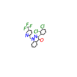 O=c1c(-c2cccc(Cl)c2Cl)nn(Cc2ccc(C(F)(F)F)cn2)c2ccccc12